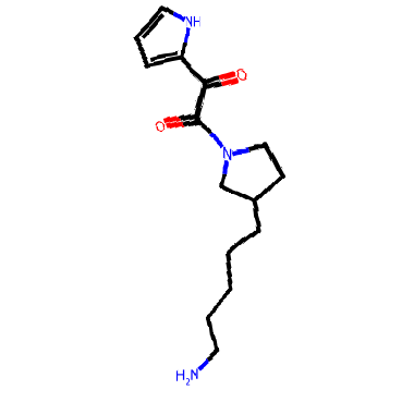 NCCCCCC1CCN(C(=O)C(=O)c2ccc[nH]2)C1